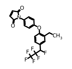 CCc1cc(C(F)C(F)(F)C(F)(F)F)ccc1Oc1ccc(N2C(=O)C=CC2=O)cc1